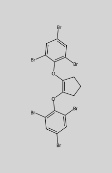 Brc1cc(Br)c(OC2=C(Oc3c(Br)cc(Br)cc3Br)CCC2)c(Br)c1